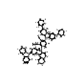 N#Cc1c(-n2c3ccc(-c4ccccc4)cc3c3cc(-c4ccccc4)ccc32)ccc(-n2c3ccc(-n4c5ccccc5c5ccccc54)cc3c3c4ccccc4ccc32)c1C#N